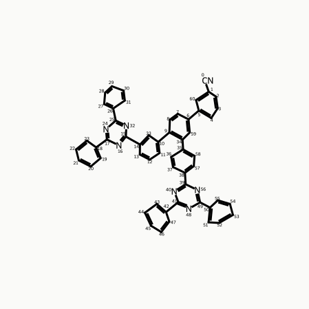 N#Cc1cccc(-c2ccc(-c3cccc(-c4nc(-c5ccccc5)nc(-c5ccccc5)n4)c3)c(-c3ccc(-c4nc(-c5ccccc5)nc(-c5ccccc5)n4)cc3)c2)c1